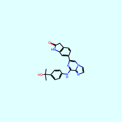 CC(C)(O)c1ccc(Nc2nc(-c3ccc4c(c3)NC(=O)C4)cn3ccnc23)cc1